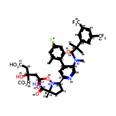 Cc1cc(F)ccc1-c1cc([C@H]2CC[C@](C)(C(N)=O)N2OC(=O)CC(O)(CC(=O)O)C(=O)O)ncc1N(C)C(=O)C(C)(C)c1cc(C(F)(F)F)cc(C(F)(F)F)c1